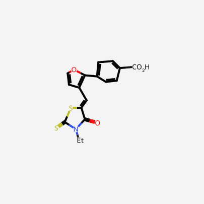 CCN1C(=O)C(=Cc2ccoc2-c2ccc(C(=O)O)cc2)SC1=S